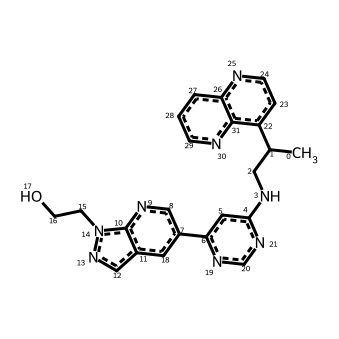 CC(CNc1cc(-c2cnc3c(cnn3CCO)c2)ncn1)c1ccnc2cccnc12